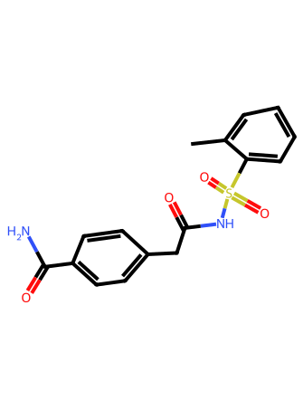 Cc1ccccc1S(=O)(=O)NC(=O)Cc1ccc(C(N)=O)cc1